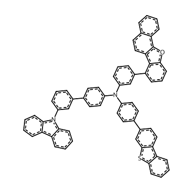 c1cc(-c2cccc3oc4c5ccccc5ccc4c23)cc(N(c2ccc(-c3cccc(-n4c5ccccc5c5ccccc54)c3)cc2)c2ccc(-c3ccc4c(c3)sc3ccccc34)cc2)c1